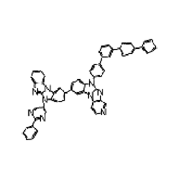 c1ccc(-c2ccc(-c3cccc(-c4ccc(-n5c6ccc(-c7ccc8c(c7)n7c9ccccc9nc7n8-c7cnc(-c8ccccc8)nc7)cc6n6c7ccncc7nc56)cc4)c3)cc2)cc1